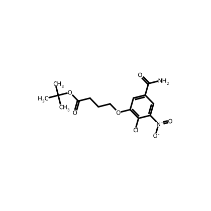 CC(C)(C)OC(=O)CCCOc1cc(C(N)=O)cc([N+](=O)[O-])c1Cl